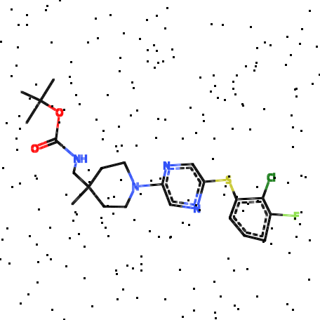 CC1(CNC(=O)OC(C)(C)C)CCN(c2cnc(Sc3cccc(F)c3Cl)cn2)CC1